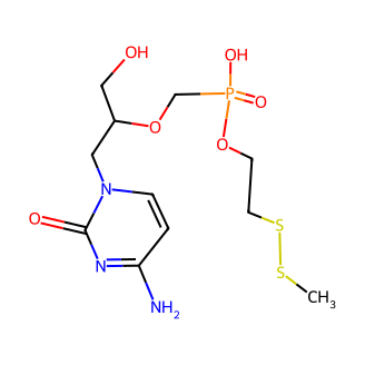 CSSCCOP(=O)(O)COC(CO)Cn1ccc(N)nc1=O